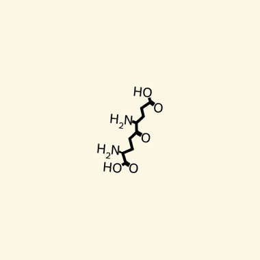 NC(CCC(=O)O)C(=O)CC[C@H](N)C(=O)O